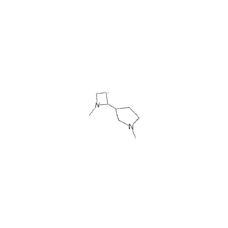 CN1CCC(C2[CH]CN2C)C1